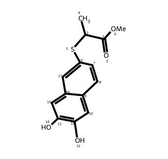 COC(=O)C(C)Sc1ccc2cc(O)c(O)cc2c1